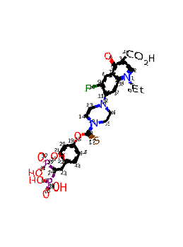 CCn1cc(C(=O)O)c(=O)c2cc(F)c(N3CCN(C(=S)Oc4ccc(CC(P(=O)(O)O)P(=O)(O)O)cc4)CC3)cc21